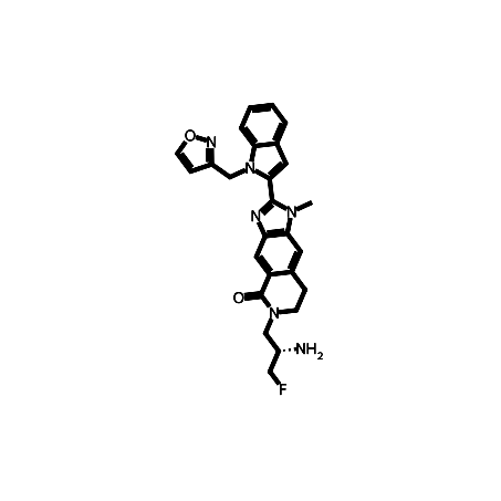 Cn1c(-c2cc3ccccc3n2Cc2ccon2)nc2cc3c(cc21)CCN(C[C@H](N)CF)C3=O